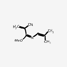 C=C(C#N)/C(=N\C=C(C)C)OC